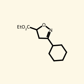 CCOC(=O)C1CC(C2CCCCC2)=NO1